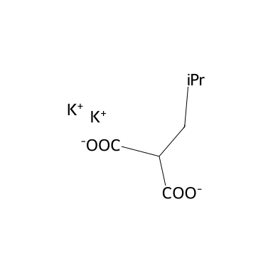 CC(C)CC(C(=O)[O-])C(=O)[O-].[K+].[K+]